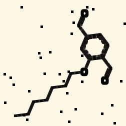 CCCCCCCOc1cc(C=O)ccc1C=O